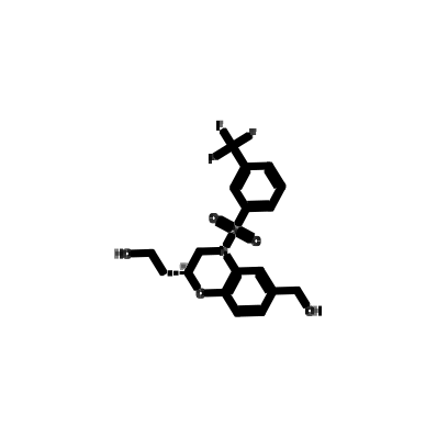 O=S(=O)(c1cccc(C(F)(F)F)c1)N1C[C@@H](CCO)Oc2ccc(CO)cc21